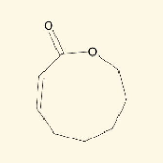 O=C1C=CCCCCCO1